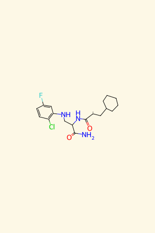 NC(=O)C(CNc1cc(F)ccc1Cl)NC(=O)[CH]CC1CCCCC1